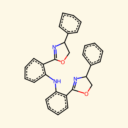 c1ccc(C2COC(c3ccccc3Nc3ccccc3C3=NC(c4ccccc4)CO3)=N2)cc1